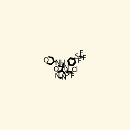 CC(C(=O)NC1CCOCC1)(c1cncnc1)N(C(=O)[C@H](F)Cl)c1ccc(SC(F)(F)F)cc1